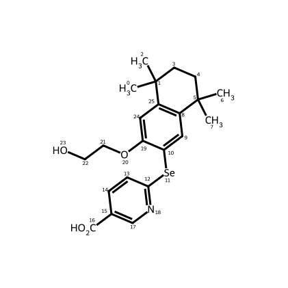 CC1(C)CCC(C)(C)c2cc([Se]c3ccc(C(=O)O)cn3)c(OCCO)cc21